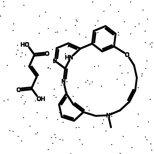 CN1CC=CCCOc2cccc(c2)C2=CC=NC(=Nc3cccc(c3)C1)N2.O=C(O)C=CC(=O)O